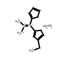 CCC1=CC[C]([Zr]([C]2=CC=CC2)=[Si](C)C)=C1.Cl.Cl